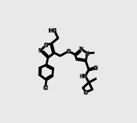 Cn1nc(OCc2c(-c3ccc(Cl)cc3)noc2CO)cc1C(=O)NC1(C)COC1